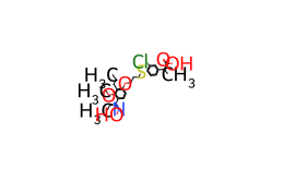 CCCc1c(OCCCSc2ccc(C(C)C(=O)O)cc2Cl)ccc(C(CC)=NO)c1OC